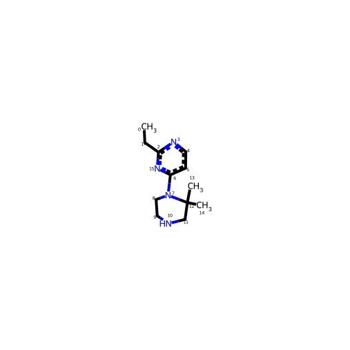 C[CH]c1nccc(N2CCNCC2(C)C)n1